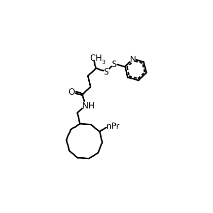 CCCC1CCCCCCCC(CNC(=O)CCC(C)SSc2ccccn2)C1